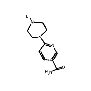 CCN1CCN(c2ccc(C(N)=O)cn2)CC1